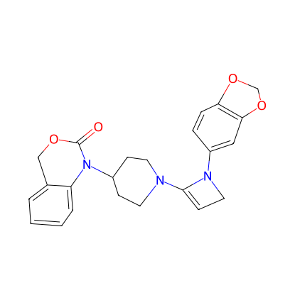 O=C1OCc2ccccc2N1C1CCN(C2=CCN2c2ccc3c(c2)OCO3)CC1